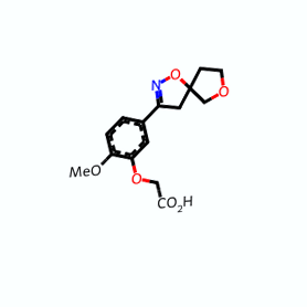 COc1ccc(C2=NOC3(CCOC3)C2)cc1OCC(=O)O